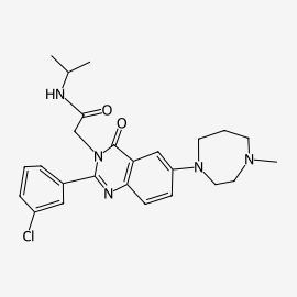 CC(C)NC(=O)Cn1c(-c2cccc(Cl)c2)nc2ccc(N3CCCN(C)CC3)cc2c1=O